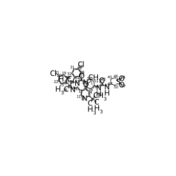 CCOc1cc(C(C)(C)C)ncc1C1=N[C@@](C)(c2ccc(Cl)cc2)[C@@](C)(c2ccc(Cl)cc2)N1C(=O)N1CCC(NC(=O)NC2CCS(=O)(=O)C2)CC1